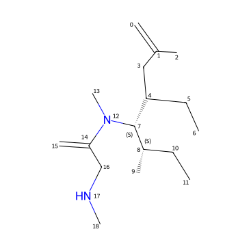 C=C(C)CC(CC)[C@H]([C@@H](C)CC)N(C)C(=C)CNC